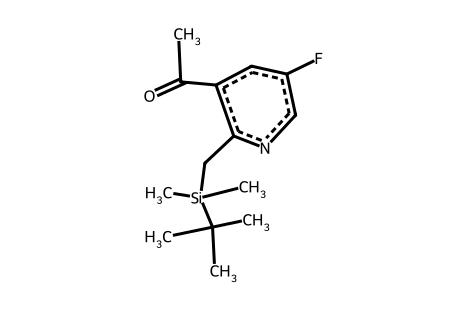 CC(=O)c1cc(F)cnc1C[Si](C)(C)C(C)(C)C